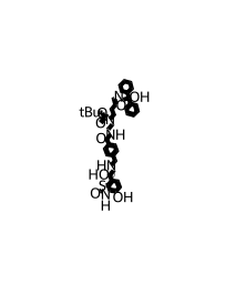 CC(C)(C)OC(=O)N(CCNC(=O)c1ccc(CNC[C@@H](O)c2ccc(O)c3[nH]c(=O)sc23)cc1)CCc1cnc(C(O)(c2ccccc2)C2CCCCC2)o1